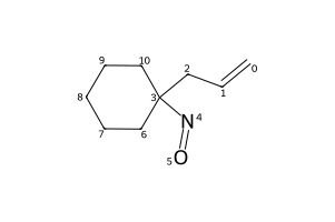 C=CCC1(N=O)CCCCC1